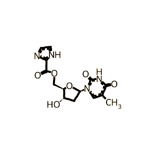 Cc1cn([C@H]2C[C@H](O)[C@@H](COC(=O)c3ncc[nH]3)O2)c(=O)[nH]c1=O